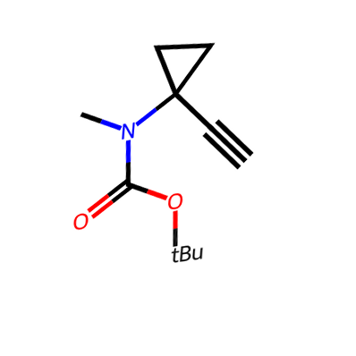 C#CC1(N(C)C(=O)OC(C)(C)C)CC1